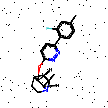 Cc1ccc(-c2ccc(O[C@H]3C4CCN(CC4)[C@@H]3C)nn2)c(F)c1